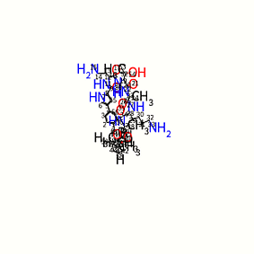 CCCCc1ccc(-c2c[nH]c(C(=O)N[C@@H](CCN)C(=O)N[C@H](C(=O)N[C@@H](C)C(=O)N[C@@H](CCCCN)C(=O)N[C@@H](C)B3OC4C[C@@H]5C[C@@H](C5(C)C)[C@]4(C)O3)[C@@H](C)O)c2)cc1